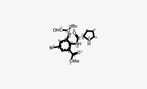 CC(C)(C)OC=O.COC(=O)c1cc(Br)cc(Br)c1NC(=O)[C@@H]1CCCN1